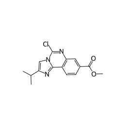 COC(=O)c1ccc2c(c1)nc(Cl)n1cc(C(C)C)nc21